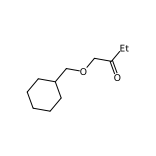 CCC(=O)COCC1CCCCC1